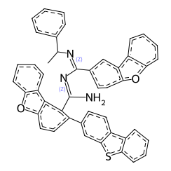 CC(/N=C(\N=C(/N)c1c(-c2ccc3c(c2)sc2ccccc23)ccc2oc3ccccc3c12)c1ccc2oc3ccccc3c2c1)c1ccccc1